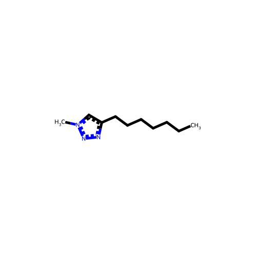 CCCCCCCc1cn(C)nn1